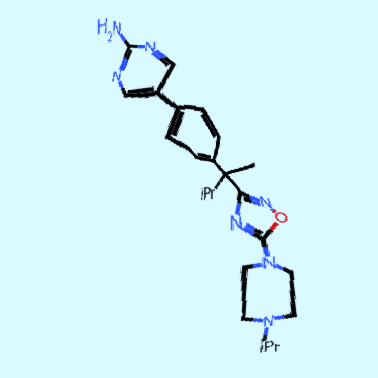 CC(C)N1CCN(c2nc(C(C)(c3ccc(-c4cnc(N)nc4)cc3)C(C)C)no2)CC1